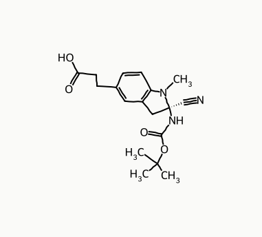 CN1c2ccc(CCC(=O)O)cc2C[C@]1(C#N)NC(=O)OC(C)(C)C